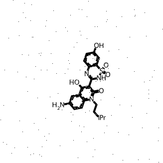 CC(C)CCn1c(=O)c(C2=Nc3ccc(O)cc3S(=O)(=O)N2)c(O)c2cc(N)ccc21